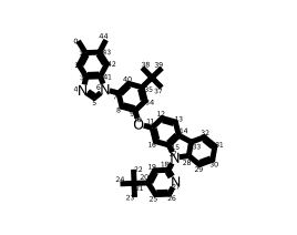 Cc1cc2ncn(-c3cc(Oc4ccc5c(c4)N(c4cc(C(C)(C)C)ccn4)C4C=CC=CC54)cc(C(C)(C)C)c3)c2cc1C